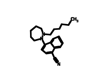 CCCCCCN1CCCCCN1c1ccc(C#N)c2ccccc12